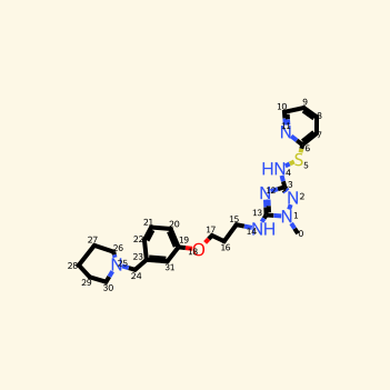 Cn1nc(NSc2ccccn2)nc1NCCCOc1cccc(CN2CCCCC2)c1